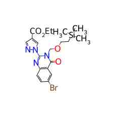 CCOC(=O)c1cnn(-c2nc3ccc(Br)cc3c(=O)n2COCC[Si](C)(C)C)c1